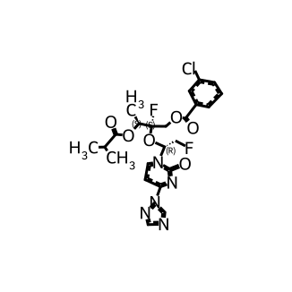 CC(C)C(=O)O[C@@H](C)[C@@](F)(COC(=O)c1cccc(Cl)c1)O[C@H](CF)n1ccc(-n2cncn2)nc1=O